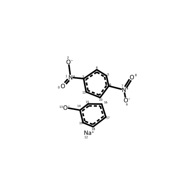 O=[N+]([O-])c1ccc([N+](=O)[O-])cc1.[Na+].[O-]c1ccccc1